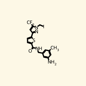 Cc1cc(N)cc(CNC(=O)c2ccc(-c3cc(C(F)(F)F)n(CI)n3)s2)c1